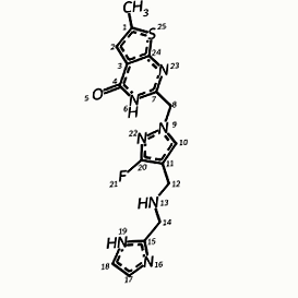 Cc1cc2c(=O)[nH]c(Cn3cc(CNCc4ncc[nH]4)c(F)n3)nc2s1